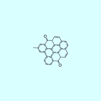 Cc1cc2c3c(c1)c1cccc4c1c1c5c6c(ccc7c6c(c31)C(C=C7)C2=O)C=CC5C4=O